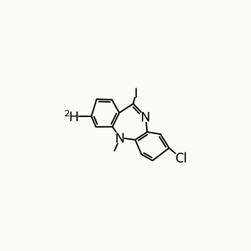 [2H]c1ccc2c(c1)N(C)c1ccc(Cl)cc1N=C2I